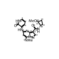 CNc1cc(Nc2ccc[nH]c2=O)nc2c(C(=O)N[C@H]3CC[C@@H]3OC)cnn12